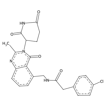 Cc1nc2cccc(CNC(=O)Cc3ccc(Cl)cc3)c2c(=O)n1C1CCC(=O)NC1=O